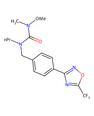 CCCN(Cc1ccc(-c2noc(C(F)(F)F)n2)cc1)C(=O)N(C)OC